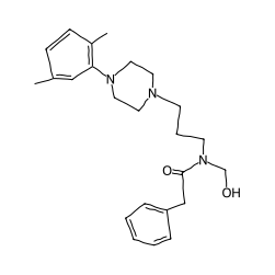 Cc1ccc(C)c(N2CCN(CCCN(CO)C(=O)Cc3ccccc3)CC2)c1